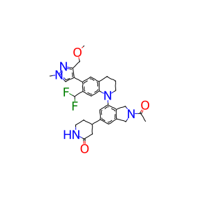 COCc1nn(C)cc1-c1cc2c(cc1C(F)F)N(c1cc(C3CCNC(=O)C3)cc3c1CN(C(C)=O)C3)CCC2